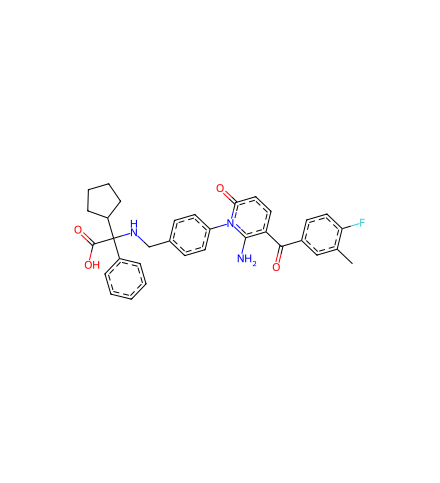 Cc1cc(C(=O)c2ccc(=O)n(-c3ccc(CNC(C(=O)O)(c4ccccc4)C4CCCC4)cc3)c2N)ccc1F